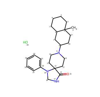 CC12CCCCC1CC(N1CCC3(CC1)C(=O)NCN3c1ccccc1)CC2.Cl